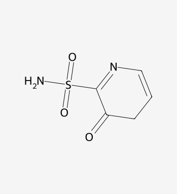 NS(=O)(=O)C1=NC=CCC1=O